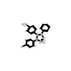 O=[N+]([O-])c1ccc(N2N(c3ccccc3)[C+]=NN2c2ccc(I)cc2)cc1.[Cl-]